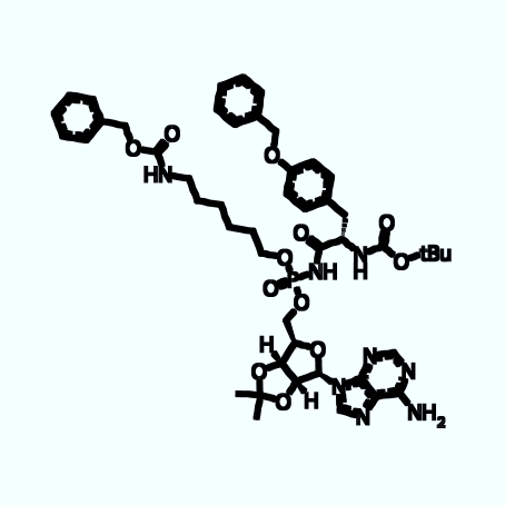 CC(C)(C)OC(=O)N[C@@H](Cc1ccc(OCc2ccccc2)cc1)C(=O)NP(=O)(OCCCCCCNC(=O)OCc1ccccc1)OC[C@H]1O[C@@H](n2cnc3c(N)ncnc32)[C@@H]2OC(C)(C)O[C@@H]21